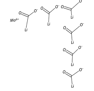 [Li][C](=O)[O-].[Li][C](=O)[O-].[Li][C](=O)[O-].[Li][C](=O)[O-].[Li][C](=O)[O-].[Li][C](=O)[O-].[Mo+6]